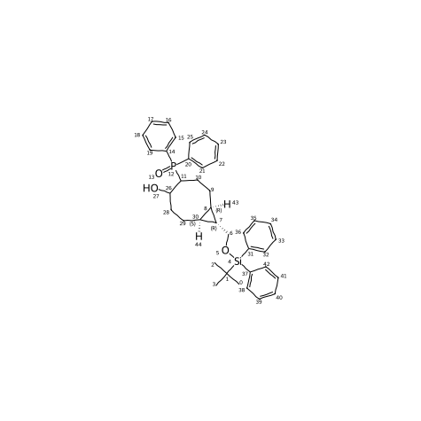 CC(C)(C)[Si](OC[C@H]1[C@@H]2CCC(P(=O)(c3ccccc3)c3ccccc3)C(O)CC[C@@H]21)(c1ccccc1)c1ccccc1